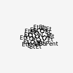 CCCC(C)C(CC)c1cc(N(c2cc(C(CC)(CC)CC)cc(C(CC)(CC)CC)c2)c2c3ccccc3c(N(c3cc(C(CC)(CC)CC)cc(C(CC)(CC)CC)c3)c3cc(C(CC)(CC)CC)cc(C(CC)(CC)CC)c3)c3cc(C(C)(C)C)ccc23)cc(C(CC)(CC)CC)c1